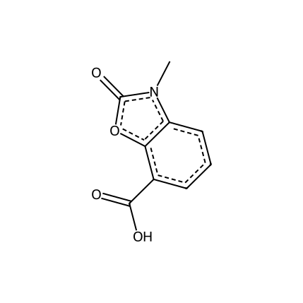 Cn1c(=O)oc2c(C(=O)O)cccc21